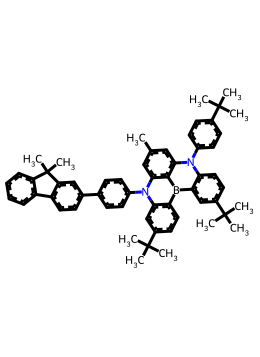 Cc1cc2c3c(c1)N(c1ccc(-c4ccc5c(c4)C(C)(C)c4ccccc4-5)cc1)c1cc(C(C)(C)C)ccc1B3c1cc(C(C)(C)C)ccc1N2c1ccc(C(C)(C)C)cc1